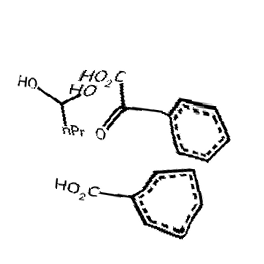 CCCC(O)O.O=C(O)C(=O)c1ccccc1.O=C(O)c1ccccc1